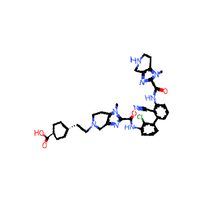 Cn1c(C(=O)Nc2cccc(-c3cccc(NC(=O)c4nc5c(n4C)CCNC5)c3C#N)c2Cl)nc2c1CCN(CC[C@H]1CC[C@H](C(=O)O)CC1)C2